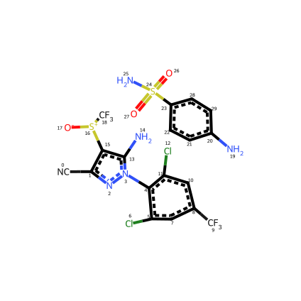 N#Cc1nn(-c2c(Cl)cc(C(F)(F)F)cc2Cl)c(N)c1[S+]([O-])C(F)(F)F.Nc1ccc(S(N)(=O)=O)cc1